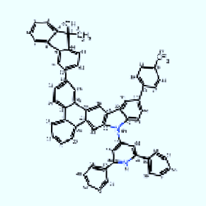 CC1(C)c2ccccc2-c2cc(-c3ccc4c5ccccc5c5cc6c(cc5c4c3)c3cc(-c4ccc(C(F)(F)F)cc4)ccc3n6-c3cc(-c4ccccc4)nc(-c4ccccc4)c3)ccc21